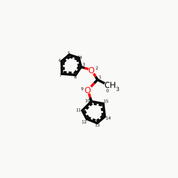 CC(Oc1[c]cccc1)Oc1ccccc1